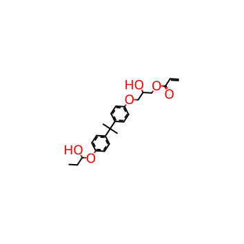 C=CC(=O)OCC(O)COc1ccc(C(C)(C)c2ccc(OC(O)CC)cc2)cc1